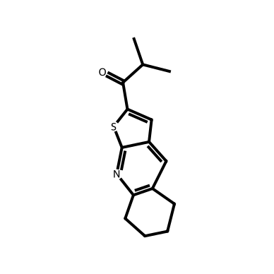 CC(C)C(=O)c1cc2cc3c(nc2s1)CCCC3